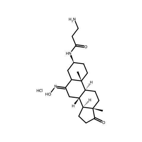 C[C@]12CC[C@H](NC(=O)CCN)CC1/C(=N/O)C[C@@H]1[C@@H]2CC[C@]2(C)C(=O)CC[C@@H]12.Cl